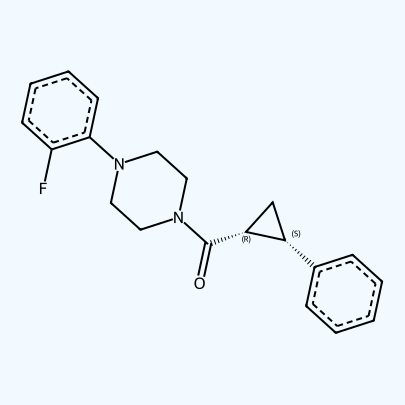 O=C([C@@H]1C[C@@H]1c1ccccc1)N1CCN(c2ccccc2F)CC1